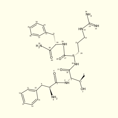 C[C@@H](O)[C@H](NC(=O)[C@@H](N)Cc1ccccc1)C(=O)N[C@@H](CCCNC(=N)N)C(=O)N[C@@H](Cc1ccccc1)C(N)=O